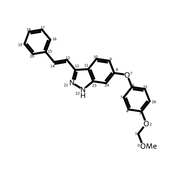 COCOc1ccc(Oc2ccc3c(C=Cc4ccccc4)n[nH]c3c2)cc1